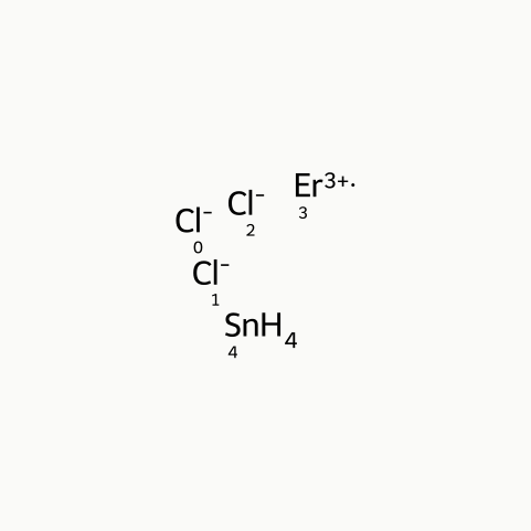 [Cl-].[Cl-].[Cl-].[Er+3].[SnH4]